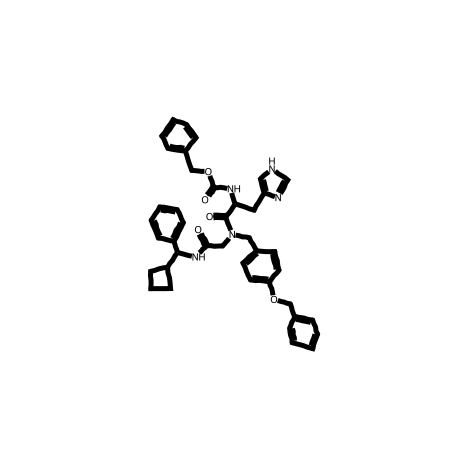 O=C(CN(Cc1ccc(OCc2ccccc2)cc1)C(=O)C(Cc1c[nH]cn1)NC(=O)OCc1ccccc1)NC(c1ccccc1)C1CCC1